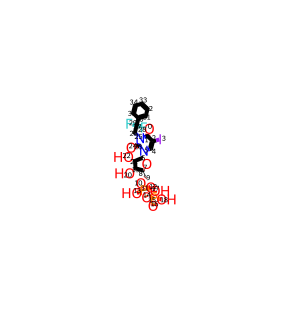 O=c1c(I)cn([C@@H]2O[C@H](COP(=O)(O)OP(=O)(O)O)[C@H](O)[C@@H]2O)c(=O)n1CC(F)(F)c1ccccc1